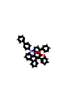 c1ccc(-c2ccc(N(c3ccc(-c4ccccc4)cc3)c3cccc4c5ccccc5c5c(ccc6oc7ccccc7c65)c34)cc2)cc1